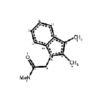 CNC(=O)Cn1c(C)c(C)c2ccccc21